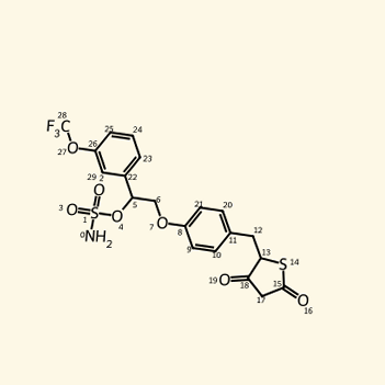 NS(=O)(=O)OC(COc1ccc(CC2SC(=O)CC2=O)cc1)c1cccc(OC(F)(F)F)c1